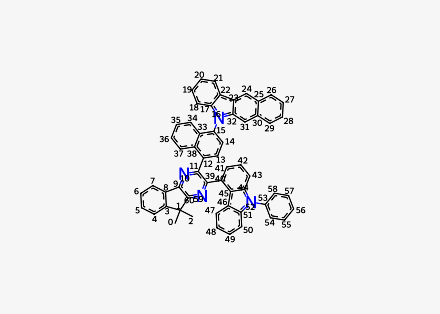 CC1(C)c2ccccc2-c2nc(-c3ccc(-n4c5ccccc5c5cc6ccccc6cc54)c4ccccc34)c(-c3cccc4c3c3ccccc3n4-c3ccccc3)nc21